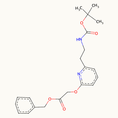 CC(C)(C)OC(=O)NCCc1cccc(OCC(=O)OCc2ccccc2)n1